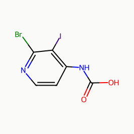 O=C(O)Nc1ccnc(Br)c1I